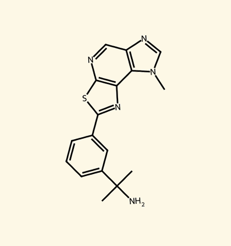 Cn1cnc2cnc3sc(-c4cccc(C(C)(C)N)c4)nc3c21